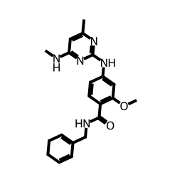 CNc1cc(C)nc(Nc2ccc(C(=O)NCC3=CCCC=C3)c(OC)c2)n1